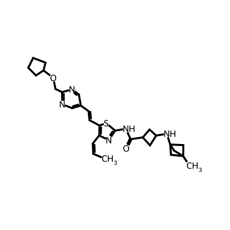 C/C=C\c1nc(NC(=O)C2CC(NC34CC(C)(C3)C4)C2)sc1/C=C/c1cnc(COC2CCCC2)nc1